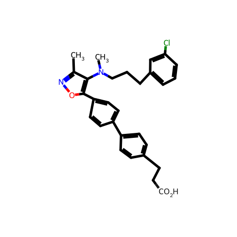 Cc1noc(-c2ccc(-c3ccc(CCC(=O)O)cc3)cc2)c1N(C)CCCc1cccc(Cl)c1